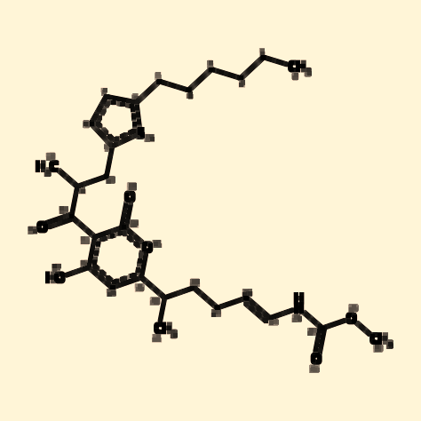 CCCCCCc1ccc(CC(C)C(=O)c2c(O)cc(C(C)CC/C=C/NC(=O)OC)oc2=O)s1